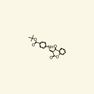 CC(C)(C)OC(=O)c1ccc(NC=C2C(=O)Oc3ccccc3C2=O)cc1